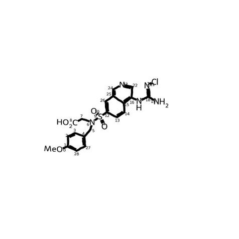 COc1ccc(CN(CC(=O)O)S(=O)(=O)c2ccc3c(NC(N)=NCl)cncc3c2)cc1